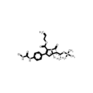 C=CCOC(=O)C1=C(c2ccc(NC(=O)NCC)cc2)C[C@@H]2[C@@H]([C@@H](C)O[Si](C)(C)C)C(=O)N12